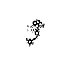 COc1ccc2ncc(CO)c([C@H](O)CCC3(CC(=O)O)CCN(CC#Cc4cc(F)cc(F)c4F)CC3)c2c1